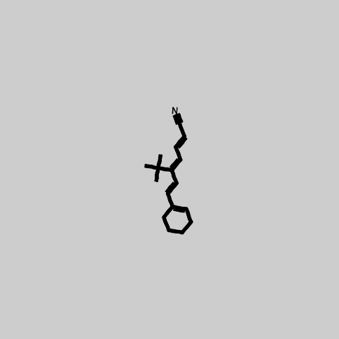 CC(C)(C)C(=C\C=C\C#N)/C=C/C1=CCCCC1